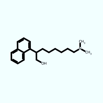 CN(C)CCCCCCC(CO)c1cccc2ccccc12